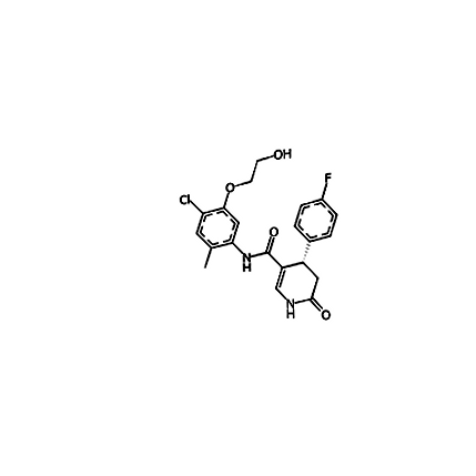 Cc1cc(Cl)c(OCCO)cc1NC(=O)C1=CNC(=O)C[C@H]1c1ccc(F)cc1